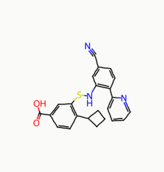 N#Cc1ccc(-c2ccccn2)c(NSc2cc(C(=O)O)ccc2C2CCC2)c1